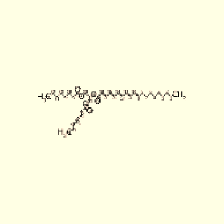 CCCCCCCCC/C=C/C=C/C=C/C=C/C=C/C(=O)OC(COC(=O)CCCCCCC)COC(=O)CCCCCCC